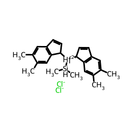 Cc1cc2c(cc1C)[CH]([Hf+2]([CH]1C=Cc3cc(C)c(C)cc31)[SiH](C)C)C=C2.[Cl-].[Cl-]